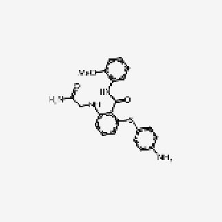 COc1ccccc1NC(=O)c1c(NCC(N)=O)cccc1Sc1ccc(N)cc1